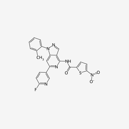 Cc1ccccc1-n1ncc2c(NC(=O)c3ccc([N+](=O)[O-])s3)nc(-c3ccc(F)nc3)cc21